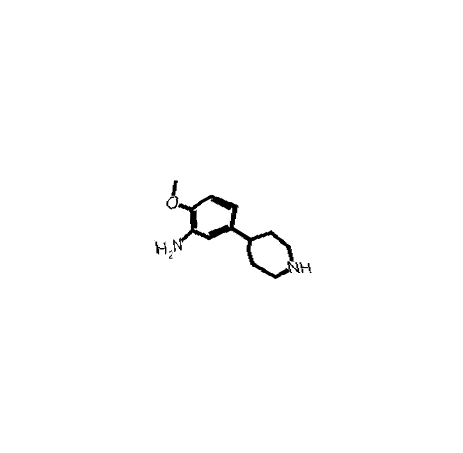 COc1ccc(C2CCNCC2)cc1N